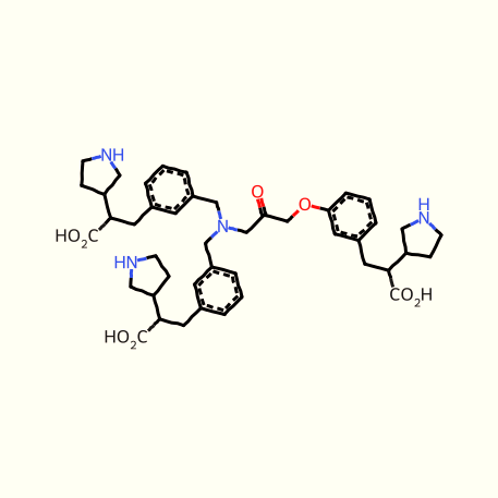 O=C(COc1cccc(CC(C(=O)O)C2CCNC2)c1)CN(Cc1cccc(CC(C(=O)O)C2CCNC2)c1)Cc1cccc(CC(C(=O)O)C2CCNC2)c1